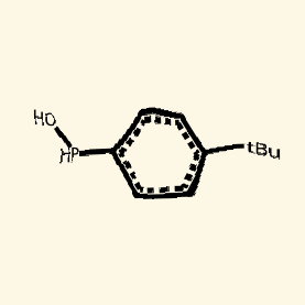 CC(C)(C)c1ccc(PO)cc1